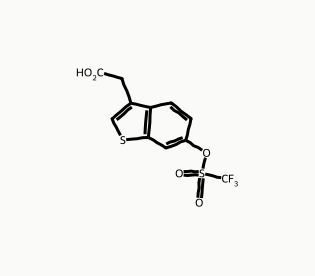 O=C(O)Cc1csc2cc(OS(=O)(=O)C(F)(F)F)ccc12